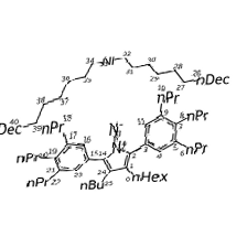 CCCCCCC1=C(c2cc(CCC)c(CCC)c(CCC)c2)[N+](=[N-])C(c2cc(CCC)c(CCC)c(CCC)c2)=C1CCCC.CCCCCCCCCCCCCCC[CH2][Ni][CH2]CCCCCCCCCCCCCCC